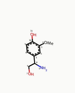 COc1cc(C(N)CO)ccc1O